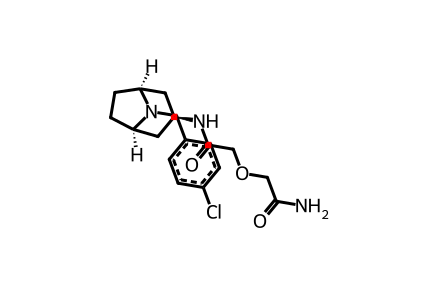 NC(=O)COCC(=O)N[C@H]1C[C@H]2CC[C@@H](C1)N2Cc1ccc(Cl)cc1